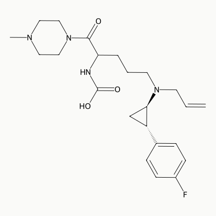 C=CCN(CCCC(NC(=O)O)C(=O)N1CCN(C)CC1)[C@@H]1C[C@H]1c1ccc(F)cc1